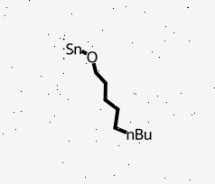 CCCCCCCCC[O][Sn]